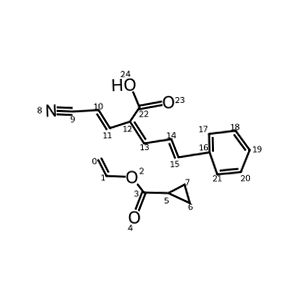 C=COC(=O)C1CC1.N#CC=CC(=CC=Cc1ccccc1)C(=O)O